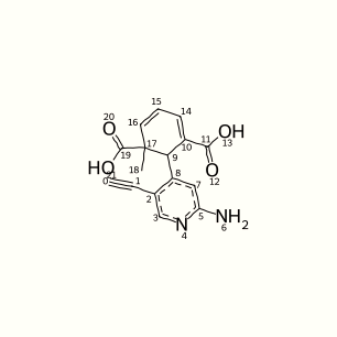 C#Cc1cnc(N)cc1C1C(C(=O)O)=CC=CC1(C)C(=O)O